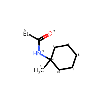 CCC(=O)NC1(C)CCCCC1